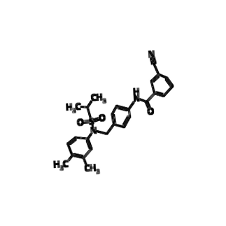 Cc1ccc(N(Cc2ccc(NC(=O)c3cccc(C#N)c3)cc2)S(=O)(=O)C(C)C)cc1C